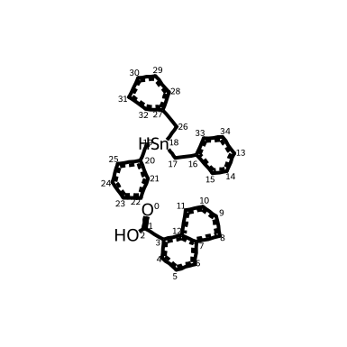 O=C(O)c1cccc2ccccc12.c1ccc([CH2][SnH]([CH2]c2ccccc2)[CH2]c2ccccc2)cc1